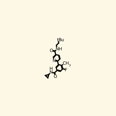 Cc1c(F)cc(C(=O)NC2CC2)cc1-c1ccc(C(=O)NCCC(C)(C)C)cn1